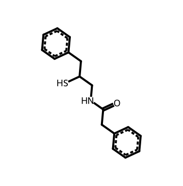 O=C(Cc1ccccc1)NCC(S)Cc1ccccc1